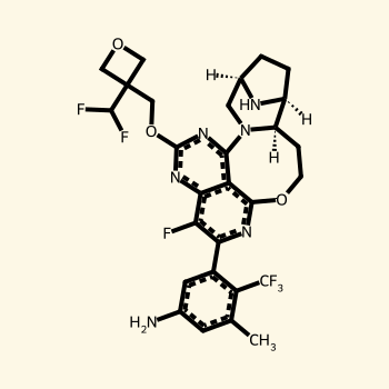 Cc1cc(N)cc(-c2nc3c4c(nc(OCC5(C(F)F)COC5)nc4c2F)N2C[C@H]4CC[C@H](N4)[C@H]2CCO3)c1C(F)(F)F